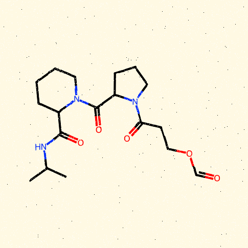 CC(C)NC(=O)C1CCCCN1C(=O)C1CCCN1C(=O)CCOC=O